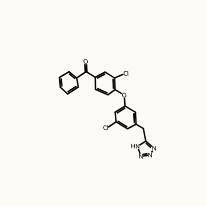 O=C(c1ccccc1)c1ccc(Oc2cc(Cl)cc(Cc3nnn[nH]3)c2)c(Cl)c1